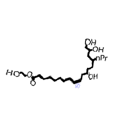 CCCC(CC[C@@H](O)C/C=C\CCCCCCCC(=O)OCCO)CC(O)CO